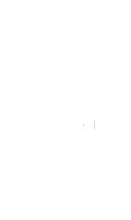 C#CC[S+](C)C.CO